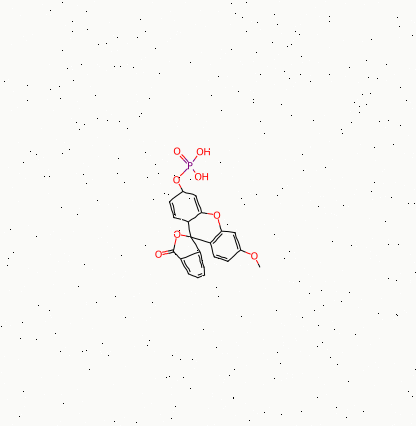 COc1ccc2c(c1)OC1=CC(OP(=O)(O)O)C=CC1C21OC(=O)c2ccccc21